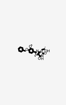 COc1cc(-c2nc3c(c(=O)[nH]c(=O)n3C[C@H](C)O)n2C)ccc1OCc1ccccc1